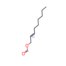 CCCCCC/C=C/CO[C]=O